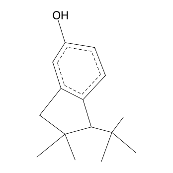 CC(C)(C)C1c2ccc(O)cc2CC1(C)C